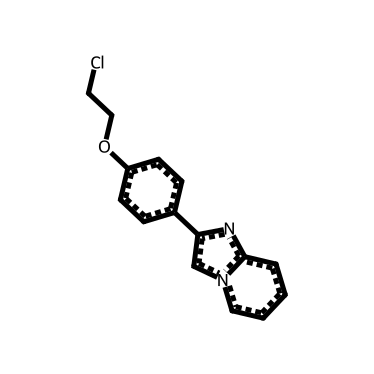 ClCCOc1ccc(-c2cn3ccccc3n2)cc1